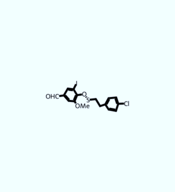 COc1cc(C=O)cc(I)c1OSCCc1ccc(Cl)cc1